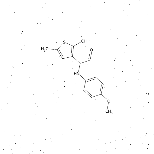 COc1ccc(NC(C=O)c2cc(C)sc2C)cc1